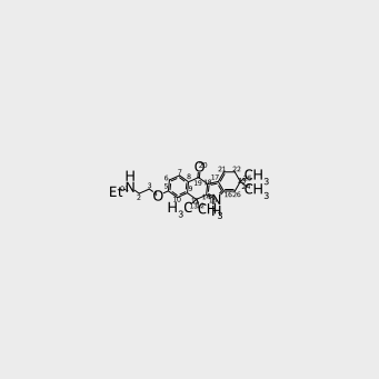 CCNCCOc1ccc2c(c1)C(C)(C)c1[nH]c3c(c1C2=O)=CCC(C)(C)C=3